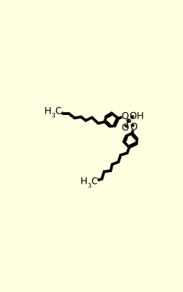 CCCCCCCCc1ccc(OP(=O)(O)Oc2ccc(CCCCCCCC)cc2)cc1